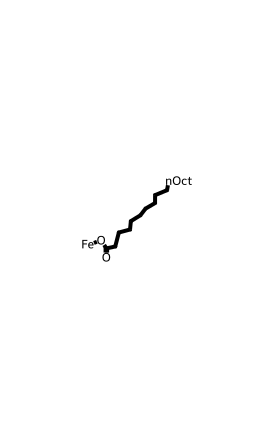 CCCCCCCCCCCCCCCCCC(=O)[O][Fe]